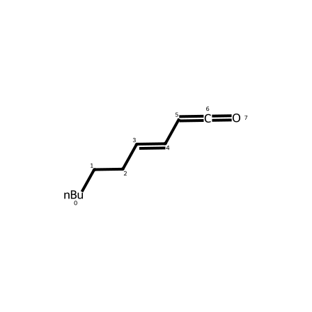 CCCCCCC=CC=C=O